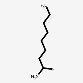 NC(F)CCCCCCC(F)(F)F